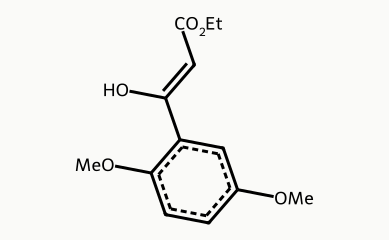 CCOC(=O)/C=C(\O)c1cc(OC)ccc1OC